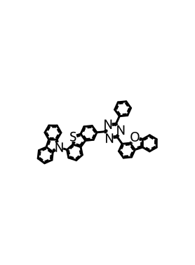 c1ccc(-c2nc(-c3ccc4sc5c(-n6c7ccccc7c7ccccc76)cccc5c4c3)nc(-c3cccc4c3oc3ccccc34)n2)cc1